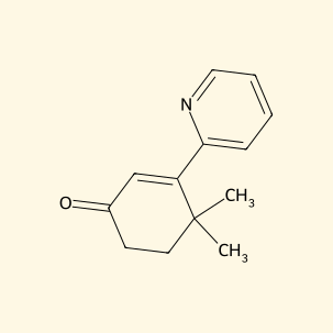 CC1(C)CCC(=O)C=C1c1ccccn1